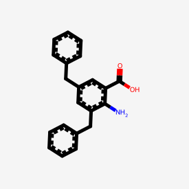 Nc1c(Cc2ccccc2)cc(Cc2ccccc2)cc1C(=O)O